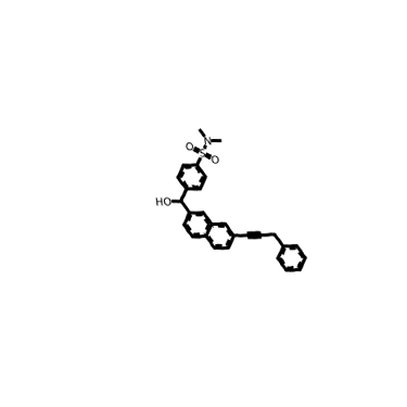 CN(C)S(=O)(=O)c1ccc(C(O)c2ccc3ccc(C#CCc4ccccc4)cc3c2)cc1